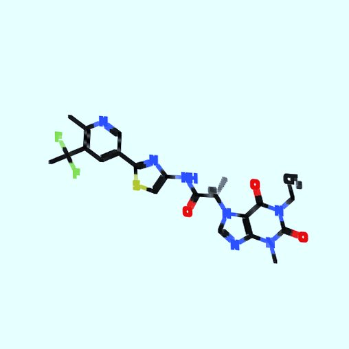 Cc1ncc(-c2nc(NC(=O)[C@H](C)n3cnc4c3c(=O)n(CC(F)(F)F)c(=O)n4C)cs2)cc1C(C)(F)F